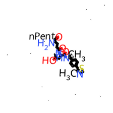 CCCCCC(=O)C(N)CCC(=O)N1CC(O)CC1C(=O)N[C@@H](C)c1ccc(-c2scnc2C)cc1